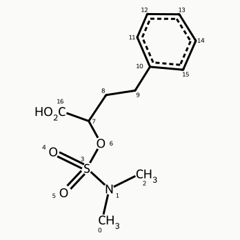 CN(C)S(=O)(=O)OC(CCc1ccccc1)C(=O)O